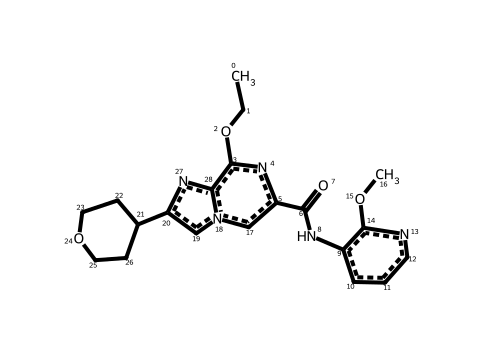 CCOc1nc(C(=O)Nc2cccnc2OC)cn2cc(C3CCOCC3)nc12